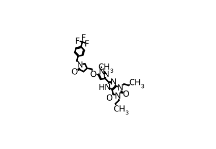 CCCn1c(=O)c2[nH]c(-c3cc(OCC4CC(=O)N(Cc5ccc(C(F)(F)F)cc5)C4)n(C)n3)nc2n(CCC)c1=O